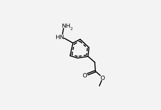 COC(=O)Cc1ccc(NN)cc1